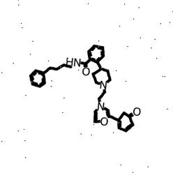 O=C1C=CC=C(C2=CN(CCN3CCC(c4ccccc4C(=O)NCCCCc4ccccc4)CC3)C=CO2)C1